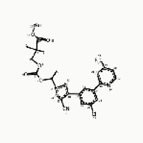 CC(OC(=O)OCC(C)(C)C(=O)OC(C)(C)C)n1nc(C#N)c(-c2cc(Cl)cc(-c3nccc(C(F)(F)F)n3)c2)n1